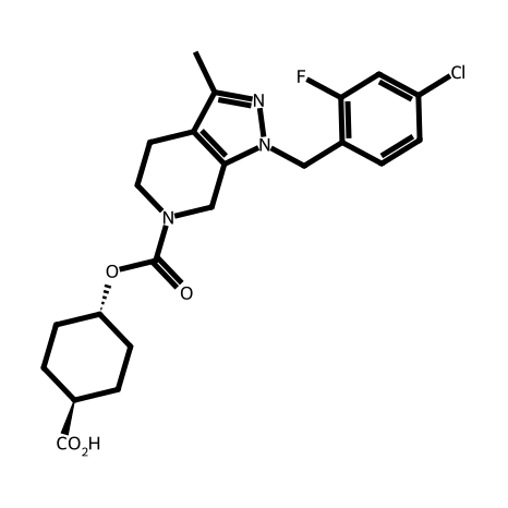 Cc1nn(Cc2ccc(Cl)cc2F)c2c1CCN(C(=O)O[C@H]1CC[C@H](C(=O)O)CC1)C2